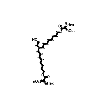 CCCCCCCCC(CCCCCC)C(=O)OCCCCCCCCN(CCO)CCCCCCCCOC(=O)C(CCCCCC)CCCCCCCC